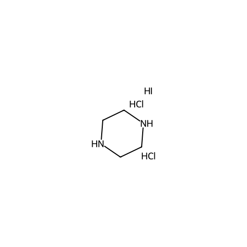 C1CNCCN1.Cl.Cl.I